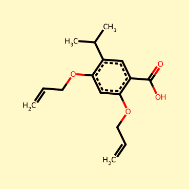 C=CCOc1cc(OCC=C)c(C(C)C)cc1C(=O)O